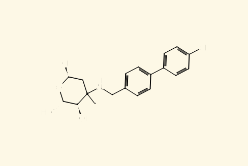 C[C@@H]1O[C@@H](C)CC(I)(NCc2ccc(-c3ccc(Cl)cc3)cc2)[C@H]1O